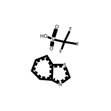 O=S(=O)(O)C(F)(F)F.c1ccc2scnc2c1